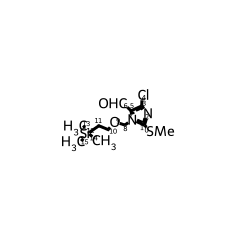 CSc1nc(Cl)c(C=O)n1COCC[Si](C)(C)C